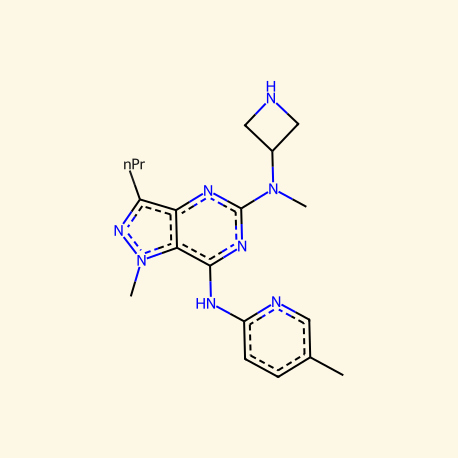 CCCc1nn(C)c2c(Nc3ccc(C)cn3)nc(N(C)C3CNC3)nc12